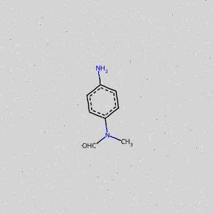 CN([C]=O)c1ccc(N)cc1